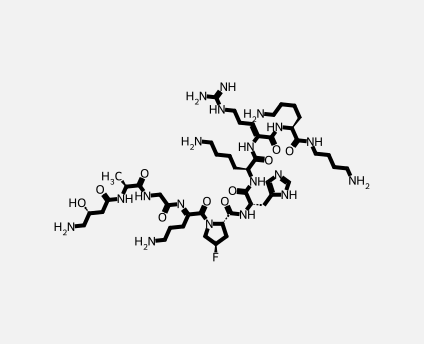 C[C@H](NC(=O)C[C@@H](O)CN)C(=O)NCC(=O)/N=C(\CCCN)C(=O)N1C[C@H](F)C[C@H]1C(=O)N[C@@H](Cc1cnc[nH]1)C(=O)N[C@@H](CCCCN)C(=O)N/C(=C\CCNC(=N)N)C(=O)N[C@@H](CCCCN)C(=O)NCCCCN